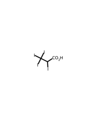 O=C(O)C(I)C(I)(I)I